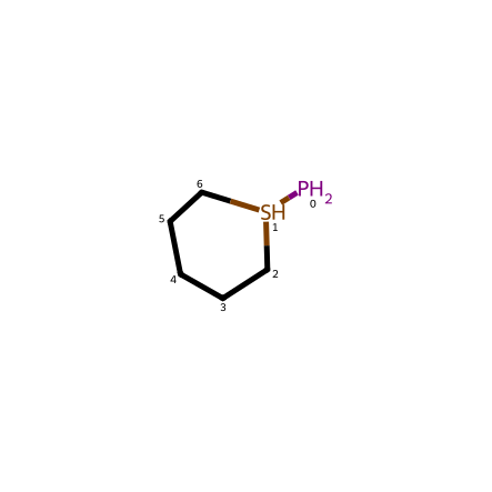 P[SH]1CCCCC1